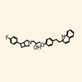 OC(COc1ccc(CCc2ccc3ccccc3n2)cc1)CN1CC2CC(c3ccc(F)cc3)C2C1